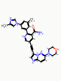 Cc1cn(-c2cc(-c3ncc(C#Cc4cnc5ccc(N6CCOCC6)nn45)cc3C(N)=O)cc(C(F)(F)F)c2)cn1